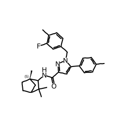 Cc1ccc(-c2cc(C(=O)NC3C(C)(C)C4CC[C@@]3(C)C4)nn2Cc2ccc(C)c(F)c2)cc1